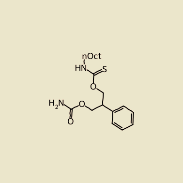 CCCCCCCCNC(=S)OCC(COC(N)=O)c1ccccc1